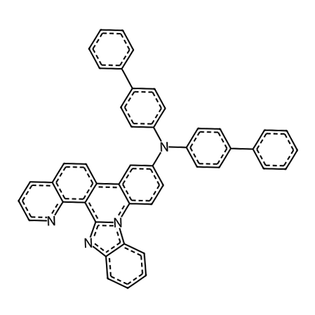 c1ccc(-c2ccc(N(c3ccc(-c4ccccc4)cc3)c3ccc4c(c3)c3ccc5cccnc5c3c3nc5ccccc5n43)cc2)cc1